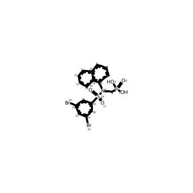 O=P(O)(O)CN(c1cccc2ccccc12)S(=O)(=O)c1cc(Br)cc(Br)c1